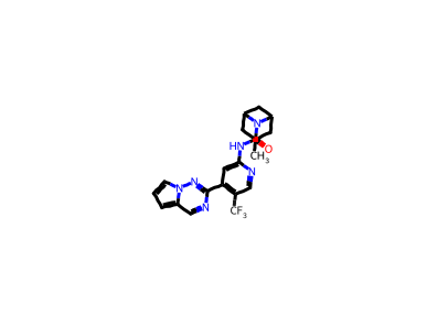 CC1CC2CC(C1)N2C(=O)Nc1cc(-c2ncc3cccn3n2)c(C(F)(F)F)cn1